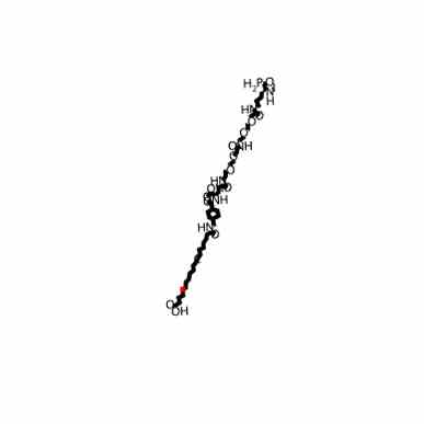 O=C(O)CCCCCCCCCCCCCCCCCCC(=O)NCC1CCC(C(=O)NC(CCC(=O)NCCOCCOCC(=O)NCCOCCOCC(=O)NCCCC[C@H](NI)C(=O)P)C(=O)O)CC1